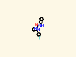 O=C(NC1Cc2ccccc2C1)c1nc(-c2ccc(F)cc2)c2ccccn12